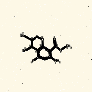 COC(=O)c1c(N)cc(F)c2c1OCC(Br)C2Br